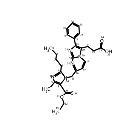 CCCCc1nc(C)c(C(=S)OCC)n1Cc1ccn2c(CCC(=O)O)c(-c3ccccc3)nc2n1